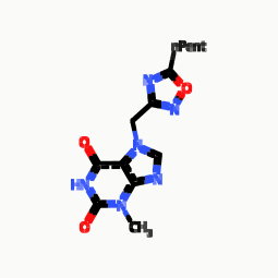 CCCCCc1nc(Cn2cnc3c2c(=O)[nH]c(=O)n3C)no1